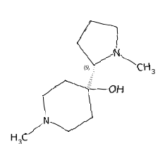 CN1CCC(O)([C@@H]2CCCN2C)CC1